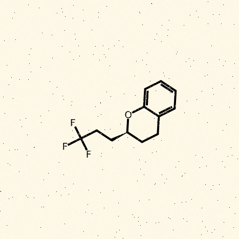 FC(F)(F)CC[C@@H]1CCc2ccccc2O1